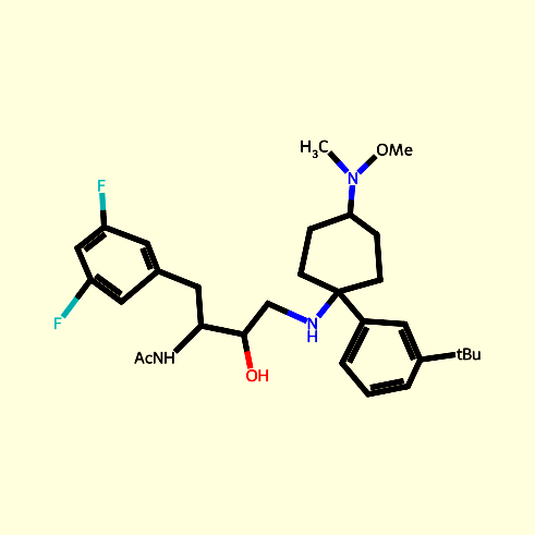 CON(C)C1CCC(NCC(O)C(Cc2cc(F)cc(F)c2)NC(C)=O)(c2cccc(C(C)(C)C)c2)CC1